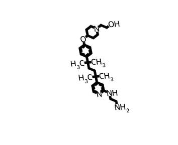 CC(C)(CCC(C)(C)c1ccnc(NCCN)c1)c1ccc(OC2CCN(CCO)CC2)cc1